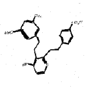 COc1cc(CCc2c(Br)ccnc2CCc2ccc(C(=O)O)cc2)cc(OC)c1